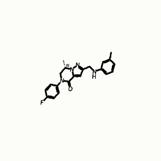 Cc1cccc(NCc2cc3n(n2)[C@@H](C)CN(c2ccc(F)cc2)C3=O)c1